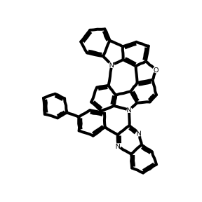 c1ccc(-c2ccc(-c3nc4ccccc4nc3-n3c4ccc5oc6ccc7c8ccccc8n8c9cccc3c9c4c5c6c78)cc2)cc1